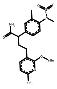 CCCCOc1nc(C(F)(F)F)ccc1CCC(C(N)=O)c1ccc(N(C)[SH](=O)=O)c(C)c1